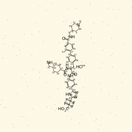 Cc1cc(C(=O)NCC2CCN(C)CC2)ccc1-c1ccc(C[C@H](NC(=O)C2CCC(CN)CC2)C(=O)Nc2ccc(-c3nnc(C(F)(F)C(F)(F)C(=O)O)[nH]3)cc2)cc1.Cl